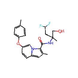 Cc1ccc(Oc2ccc3cc(C)c(C(=O)NC(C)(CO)CC(F)F)n3c2)cc1